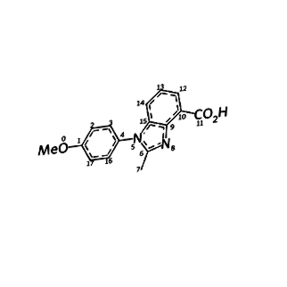 COc1ccc(-n2c(C)nc3c(C(=O)O)cccc32)cc1